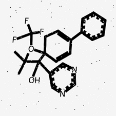 CC(C)(C)C(O)(c1cncnc1)C1(OC(F)(F)F)C=CC(c2ccccc2)=CC1